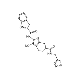 COc1ccccc1CCC(=O)Nc1sc2c(c1C#N)CCN(C(=O)NCc1ccno1)C2